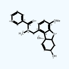 CC[C@@]12C=C[C@H](O)CC1Oc1c(OC)ccc(CN(C)C(=O)c3cccnc3)c12